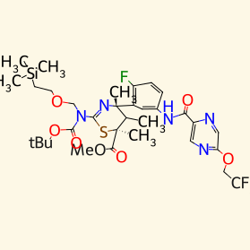 COC(=O)[C@@]1(C)SC(N(COCC[Si](C)(C)C)C(=O)OC(C)(C)C)=N[C@](C)(c2cc(NC(=O)c3cnc(OCC(F)(F)F)cn3)ccc2F)C1C